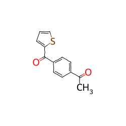 CC(=O)c1ccc(C(=O)c2cccs2)cc1